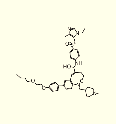 CCCCOCCOc1ccc(-c2ccc3c(c2)/C=C(/C(O)Nc2ccc([S+]([O-])Cc4c(C)ncn4CC)cc2)CCCN3CC2CCN(C)CC2)cc1